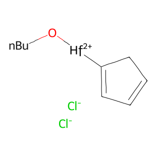 CCCC[O][Hf+2][C]1=CC=CC1.[Cl-].[Cl-]